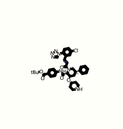 CC(C)(C)OC(=O)c1ccc(NC(=O)[C@@H]2[C@H](OC3CCNCC3)C[C@H](c3ccccc3)CN2C(=O)/C=C/c2cc(Cl)ccc2-n2cnnn2)cc1